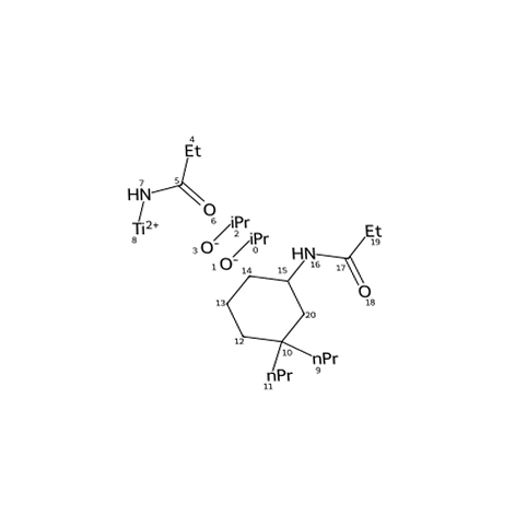 CC(C)[O-].CC(C)[O-].CCC(=O)[NH][Ti+2].CCCC1(CCC)CCCC(NC(=O)CC)C1